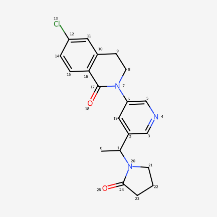 CC(c1cncc(N2CCc3cc(Cl)ccc3C2=O)c1)N1CCCC1=O